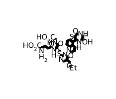 CCOCc1cnc(SC[C@H](NC(=O)CC[C@H](N)C(=O)O)C(=O)NCC(=O)O)nc1Oc1ccc2c(ccc3sc4c(c32)N[C@H](O)[C@@H](C)NC4=O)n1